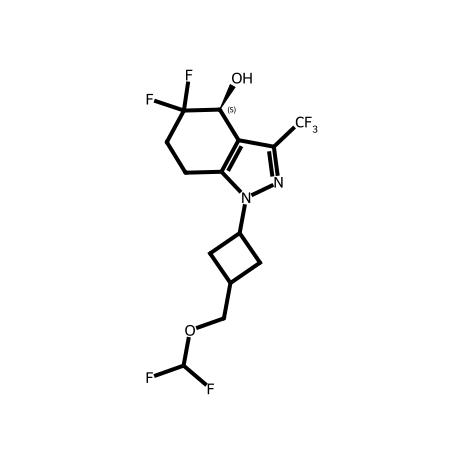 O[C@H]1c2c(C(F)(F)F)nn(C3CC(COC(F)F)C3)c2CCC1(F)F